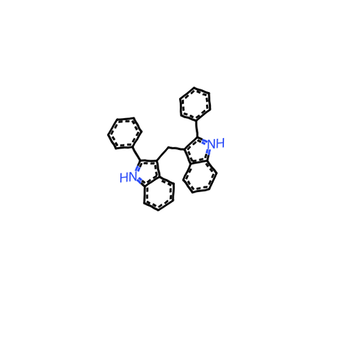 c1ccc(-c2[nH]c3ccccc3c2Cc2c(-c3ccccc3)[nH]c3ccccc23)cc1